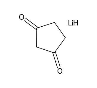 O=C1CCC(=O)C1.[LiH]